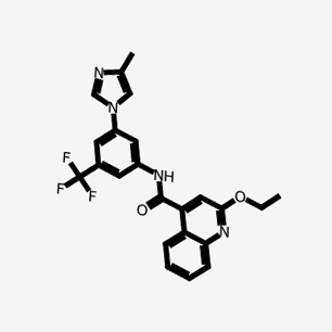 CCOc1cc(C(=O)Nc2cc(-n3cnc(C)c3)cc(C(F)(F)F)c2)c2ccccc2n1